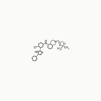 CC1(C)OC[C@H](CN2CCc3c(cccc3Nc3ccc(Cl)c(-c4ncc(-c5ccccc5)[nH]4)c3)C2)O1